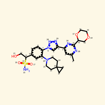 Cc1cc(-c2cn(-c3ccc(C(CO)S(N)(=O)=O)cc3N3CCC4(CC3)CC4)nn2)nc(C2COCCO2)n1